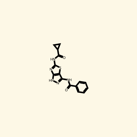 O=C(Nc1n[nH]c2nc(NC(=O)C3CC3)sc12)c1ccccc1